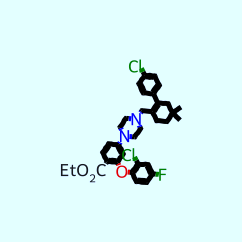 CCOC(=O)c1ccc(N2CCN(CC3=C(c4ccc(Cl)cc4)CC(C)(C)CC3)CC2)cc1Oc1ccc(F)cc1Cl